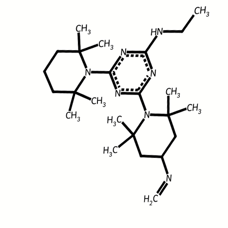 C=NC1CC(C)(C)N(c2nc(NCC)nc(N3C(C)(C)CCCC3(C)C)n2)C(C)(C)C1